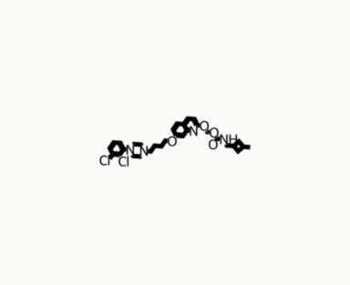 CC1CC(CNC(=O)OCOc2ccc3ccc(OCCCCN4CCN(c5cccc(Cl)c5Cl)CC4)cc3n2)C1